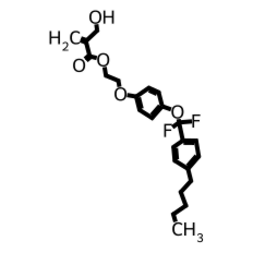 C=C(CO)C(=O)OCCOc1ccc(OC(F)(F)c2ccc(CCCCC)cc2)cc1